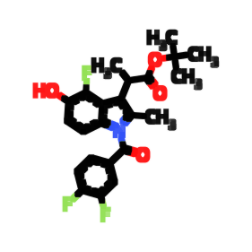 Cc1c(C(C)C(=O)OC(C)(C)C)c2c(F)c(O)ccc2n1C(=O)c1ccc(F)c(F)c1